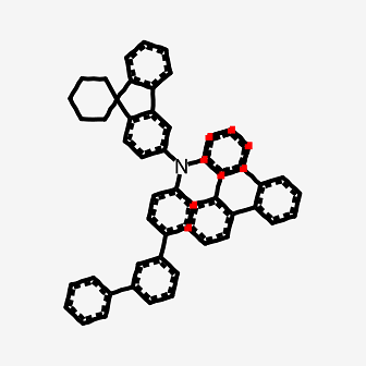 c1ccc(-c2cccc(-c3ccc(N(c4ccc5c(c4)-c4ccccc4C54CCCCC4)c4ccccc4-c4ccccc4-c4ccccc4-c4ccccc4)cc3)c2)cc1